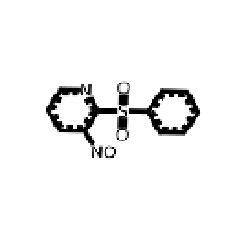 O=Nc1cccnc1S(=O)(=O)c1ccccc1